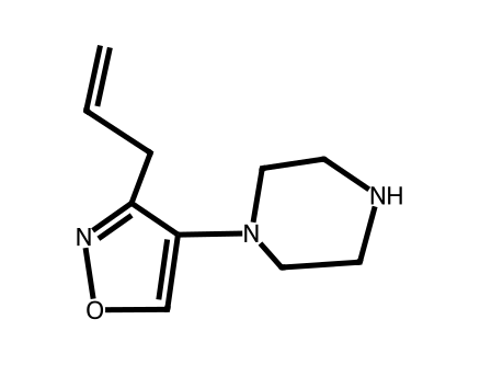 C=CCc1nocc1N1CCNCC1